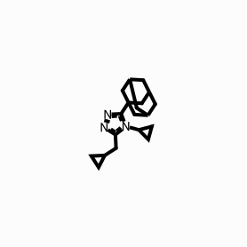 C1CC1Cc1nnc(C23CC4CC(CC(C4)C2)C3)n1C1CC1